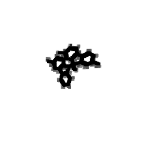 Cc1ccc2c(c1)C(C)(n1c3c(c4cc(C)ccc41)C=CCC3)c1cc(C)ccc1-2